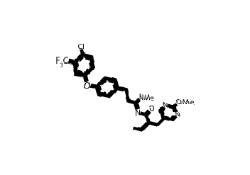 C/C=C(/Cc1cnc(OC)nc1)C(=O)/N=C(/CCc1ccc(Oc2ccc(Cl)c(C(F)(F)F)c2)cc1)NC